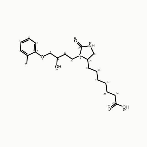 Cc1ccccc1OCC(O)CCN1C(=O)NCC1CCCCCCC(=O)O